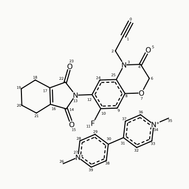 C#CCN1C(=O)COc2cc(F)c(N3C(=O)C4=C(CCCC4)C3=O)cc21.C[n+]1ccc(-c2cc[n+](C)cc2)cc1